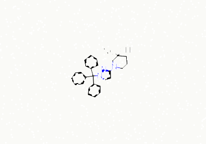 CC1(C#N)CCCN(c2ccn(C(c3ccccc3)(c3ccccc3)c3ccccc3)n2)C1